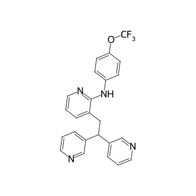 FC(F)(F)Oc1ccc(Nc2ncccc2CC(c2cccnc2)c2cccnc2)cc1